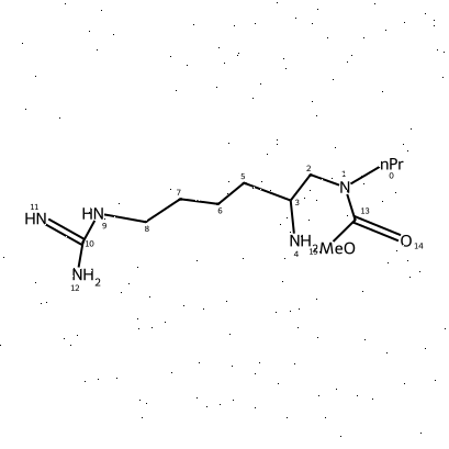 CCCN(CC(N)CCCCNC(=N)N)C(=O)OC